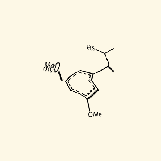 COc1cc(OC)cc(C(C)C(C)S)c1